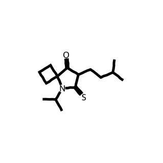 CC(C)CCC1C(=O)C2(CCC2)N(C(C)C)C1=S